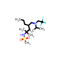 CCCC(CN(CC(F)(F)F)C(C)C)CC(C)(C)NS(C)(=O)=O